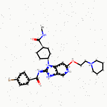 CC(C)NC(=O)[C@H]1CC[C@@H](n2/c(=N/C(=O)c3ccc(Br)cc3)[nH]c3cnc(OCCN4CCCCC4)cc32)CC1